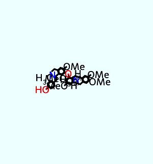 COc1cc2c(cc1OC)[C@@H]1Cc3c(cc(OC)c(OC)c3Oc3cc4c(cc3OC)CCN(C)C4Cc3ccc(O)cc3)[C@H](C2)N1C